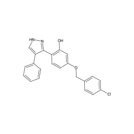 Oc1cc(OCc2ccc(Cl)cc2)ccc1-c1n[nH]cc1-c1ccccc1